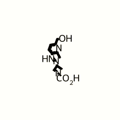 O=C(O)N1CC(N2Cc3nc(CO)ccc3N2)C1